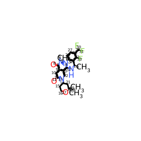 C[C@@H](Nc1nn(C)c(=O)c2cc(=O)n([C@@H]3CCOC(C)(C)C3)cc12)c1cccc(C(F)F)c1F